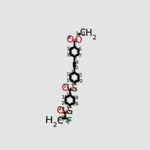 C=COC(=O)c1ccc(C#Cc2ccc(SC(=O)c3ccc(SC(=O)C(=C)F)cc3)cc2)cc1